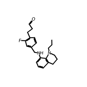 CCCN1CCCc2cccc(NCc3ccc(CCC=O)c(F)c3)c21